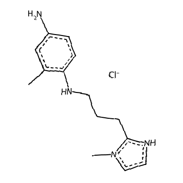 Cc1cc(N)ccc1NCCCc1[nH]cc[n+]1C.[Cl-]